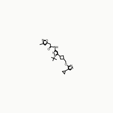 Cc1cc(CC(=O)Nc2cc(C3CC(COc4nscc4C4CC4)C3)n(C(C)(C)C)n2)on1